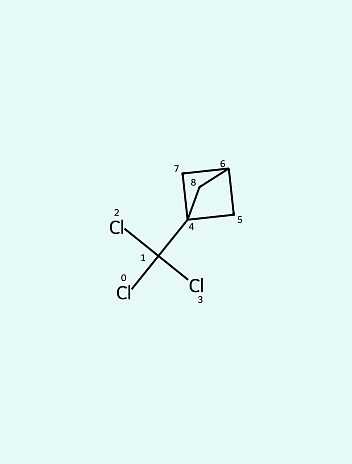 ClC(Cl)(Cl)C12CC(C1)C2